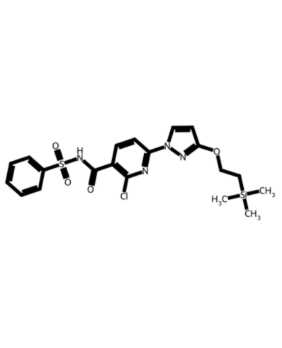 C[Si](C)(C)CCOc1ccn(-c2ccc(C(=O)NS(=O)(=O)c3ccccc3)c(Cl)n2)n1